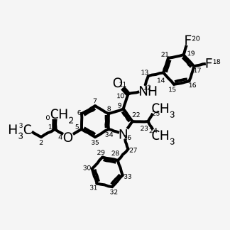 C=C(CC)Oc1ccc2c(C(=O)NCc3ccc(F)c(F)c3)c(C(C)C)n(Cc3ccccc3)c2c1